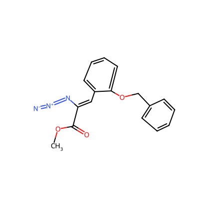 COC(=O)C(=Cc1ccccc1OCc1ccccc1)N=[N+]=[N-]